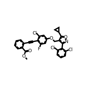 COC(=O)c1ccccc1C#Cc1c(F)cc(OCc2c(-c3c(Cl)cccc3Cl)noc2C2CC2)cc1Cl